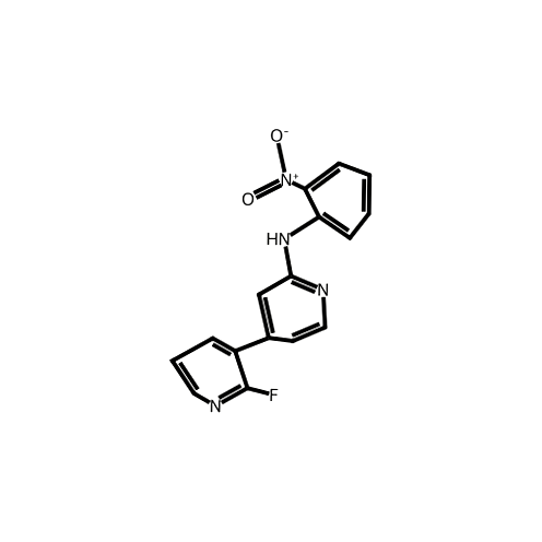 O=[N+]([O-])c1ccccc1Nc1cc(-c2cccnc2F)ccn1